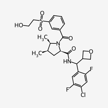 C[C@@H]1C[C@H](C(=O)NC(c2cc(F)c(Cl)cc2F)C2COC2)N(C(=O)c2cccc(S(=O)(=O)CCO)c2)[C@@H]1C